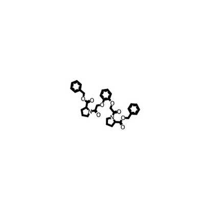 O=C(OCc1ccccc1)C1CCCN1C(=O)COc1ccccc1OCC(=O)N1CCCC1C(=O)OCc1ccccc1